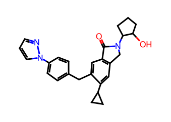 O=C1c2cc(Cc3ccc(-n4cccn4)cc3)c(C3CC3)cc2CN1C1CCCC1O